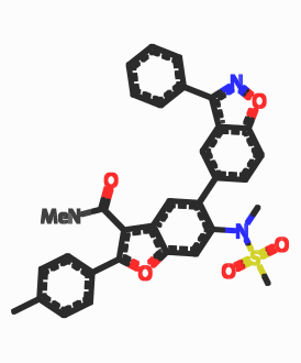 CNC(=O)c1c(-c2ccc(C)cc2)oc2cc(N(C)S(C)(=O)=O)c(-c3ccc4onc(-c5ccccc5)c4c3)cc12